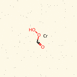 O=COO.[Cr]